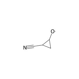 N#CC1CC1[O]